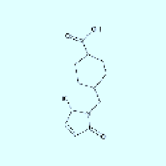 O=C(O)C1CCC(CN2C(=O)C=CC2O)CC1